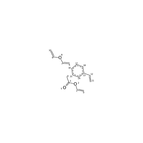 C=COC(C)=O.C=COC=C.C=Cc1ccccc1